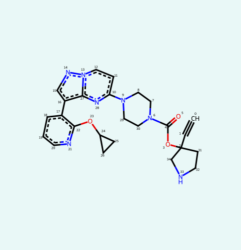 C#CC1(OC(=O)N2CCN(c3ccn4ncc(-c5cccnc5OC5CC5)c4n3)CC2)CCNC1